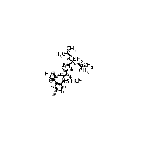 CC(C)=CCC(N)(CC=C(C)C)c1noc(-c2ncn3c2CN(C)C(=O)c2cc(F)ccc2-3)n1.Cl